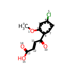 COc1cc(Cl)ccc1C(=O)C=CC(=O)O